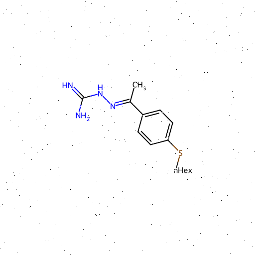 CCCCCCSc1ccc(C(C)=NNC(=N)N)cc1